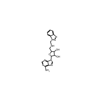 Nc1ncnc2c1ncn2C1OC(CNCn2nnc3ccccc32)C(O)C1O